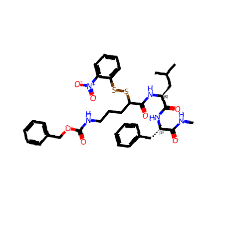 CNC(=O)[C@H](Cc1ccccc1)NC(=O)[C@H](CC(C)C)NC(=O)C(CCCNC(=O)OCc1ccccc1)SSc1ccccc1[N+](=O)[O-]